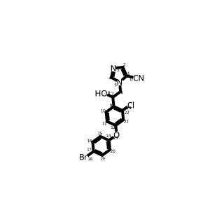 N#Cc1cncn1CC(O)c1ccc(Oc2ccc(Br)cc2)cc1Cl